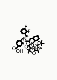 CC(C(=O)NC(C(=O)N1Cc2ccccc2CC1C(=O)N(Cc1ccc(C(=O)O)cc1)[C@H](C)c1cccc(F)c1F)C(C)(C)C)N(C)C(=O)OC(C)(C)C